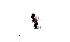 CN([C@H]1CC[C@H](n2ccc3c(N[C@H]4CCc5ccccc54)ncnc32)C1)S(=O)(=O)O